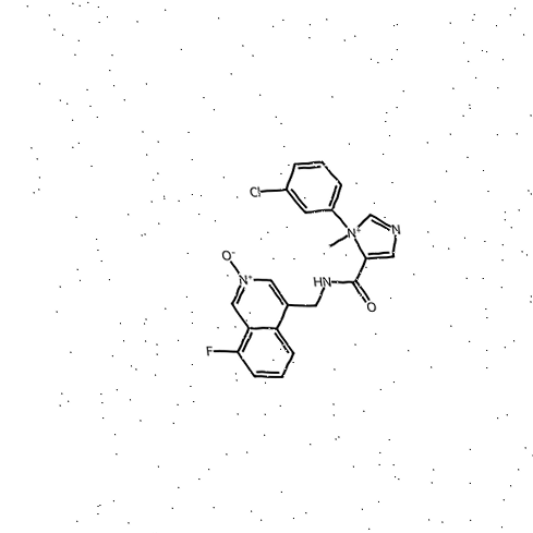 C[N+]1(c2cccc(Cl)c2)C=NC=C1C(=O)NCc1c[n+]([O-])cc2c(F)cccc12